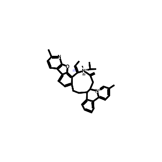 C=C1CC2C(CCc3ccc4c(oc5nc(C)ccc54)c3/C(=C/C)[N@@+]1(C)C(C)C)c1ccccc1-c1ccc(C)c[n+]12